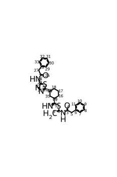 C=C(NC(=O)Cc1ccccc1)SC(=N)[C@@H]1CCC[C@@H](c2nnc(NC(=O)Cc3ccccc3)s2)C1